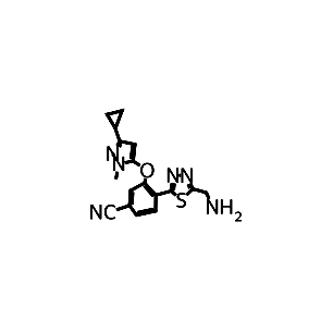 Cn1nc(C2CC2)cc1Oc1cc(C#N)ccc1-c1nnc(CN)s1